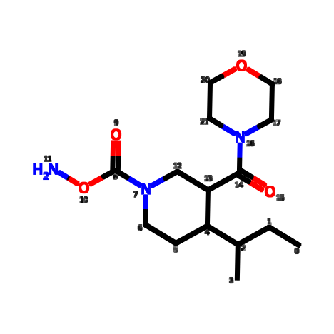 CCC(C)C1CCN(C(=O)ON)CC1C(=O)N1CCOCC1